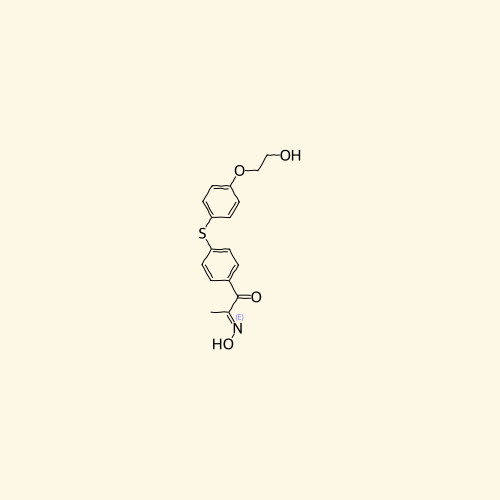 C/C(=N\O)C(=O)c1ccc(Sc2ccc(OCCO)cc2)cc1